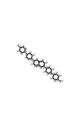 Cc1ccc(-c2ccc(-c3cnc4cc(-c5ccc(-c6ccc(I)cc6)cc5)ccc4c3)cc2)cc1